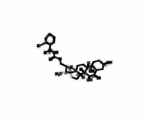 CC[C@@H]1C2C[C@H](O)CCC2(C)[C@H]2CCC3(C)[C@@H]([C@H](C)CCOC(=O)N[S@@+]([O-])c4ccccc4Cl)CC[C@H]3[C@H]2[C@@H]1O